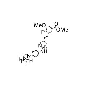 COC(=O)c1cc(/C=C/c2cnc(Nc3ccc(N4C[C@@H](C)[PH]5(I)[C@@H](C)[C@@H]45)cc3)nc2)c(F)c(OC)c1